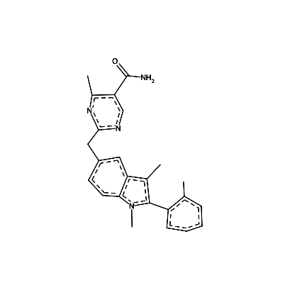 Cc1ccccc1-c1c(C)c2cc(Cc3ncc(C(N)=O)c(C)n3)ccc2n1C